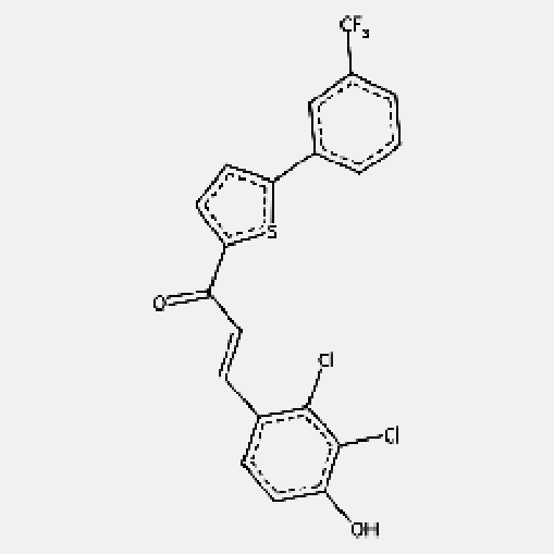 O=C(C=Cc1ccc(O)c(Cl)c1Cl)c1ccc(-c2cccc(C(F)(F)F)c2)s1